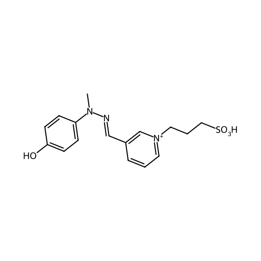 CN(N=Cc1ccc[n+](CCCS(=O)(=O)O)c1)c1ccc(O)cc1